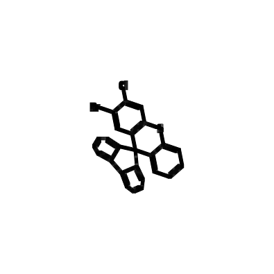 Clc1cc2c(cc1Br)C1(c3ccccc3S2)c2ccccc2-c2ccccc21